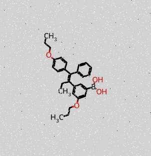 CCCOc1ccc(/C(=C(\CC)c2cc(OCCC)cc(B(O)O)c2)c2ccccc2)cc1